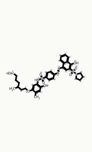 CCCCCCCCCCCCCC(C)CCOc1cc(NS(=O)(=O)c2ccc(N=Nc3cc(S(=O)(=O)N4CCCC4)c(O)c4ccccc34)cc2)c(O)cc1C